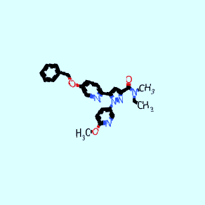 CCN(C)C(=O)c1cc(-c2ccc(OCc3ccccc3)cn2)n(-c2ccc(OC)nc2)n1